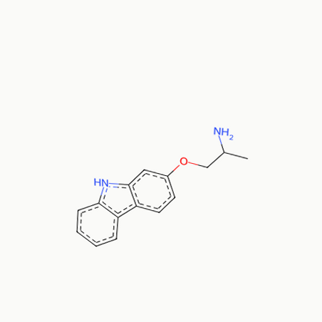 CC(N)COc1ccc2c(c1)[nH]c1ccccc12